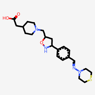 O=C(O)CC1CCN(CC2CC(c3ccc(C=NN4CCSCC4)cc3)NO2)CC1